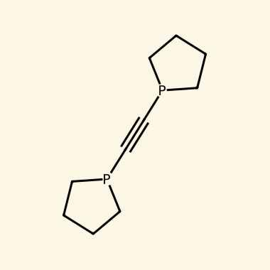 C(#CP1CCCC1)P1CCCC1